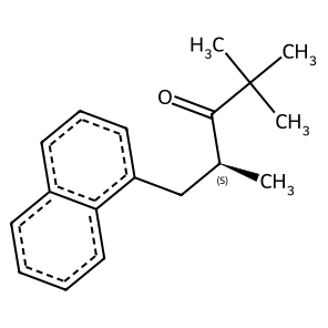 C[C@@H](Cc1cccc2ccccc12)C(=O)C(C)(C)C